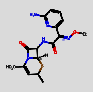 CCO/N=C(/C(=O)NC1C(=O)N2C(C(=O)O)=CC(C)S[C@H]12)c1cccc(N)n1